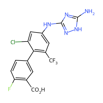 Nc1nc(Nc2cc(Cl)c(-c3ccc(F)c(C(=O)O)c3)c(C(F)(F)F)c2)n[nH]1